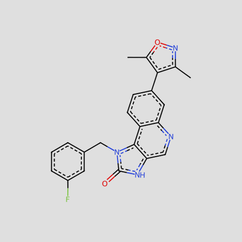 Cc1noc(C)c1-c1ccc2c(c1)ncc1[nH]c(=O)n(Cc3cccc(F)c3)c12